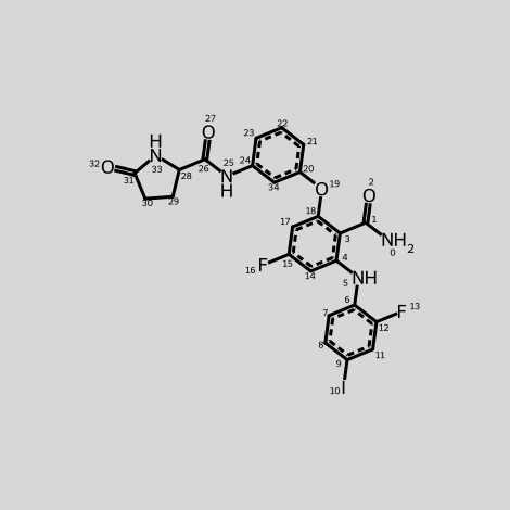 NC(=O)c1c(Nc2ccc(I)cc2F)cc(F)cc1Oc1cccc(NC(=O)C2CCC(=O)N2)c1